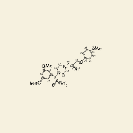 COc1cc(OC)cc(C(C(N)=O)N2CCN(CC(O)COc3ccc(SC)cc3)CC2)c1